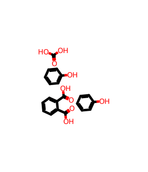 O=C(O)O.O=C(O)c1ccccc1C(=O)O.Oc1ccccc1.Oc1ccccc1